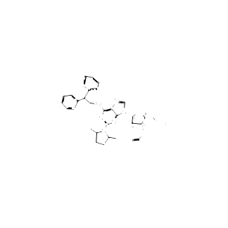 CC1CCC(C)N1c1nc(NCC(c2ccccc2)c2ccccc2)c2ncn([C@@H]3O[C@H](CO)[C@@H](OC(=O)C(F)(F)F)[C@H]3O)c2n1